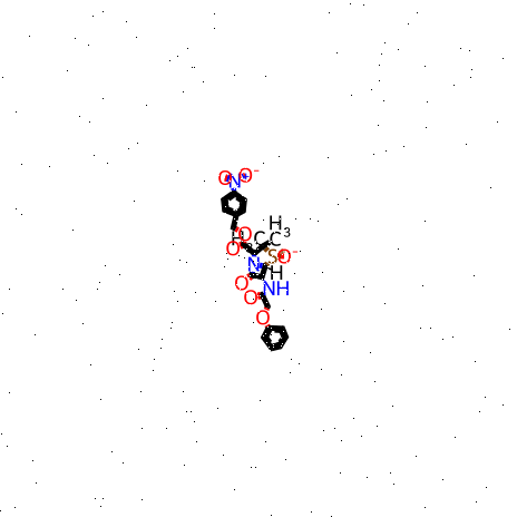 CC1(C)C(C(=O)OCc2ccc([N+](=O)[O-])cc2)N2C(=O)[C@@H](NC(=O)COc3ccccc3)[C@@H]2[S+]1[O-]